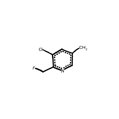 Cc1cnc(CF)c(Cl)c1